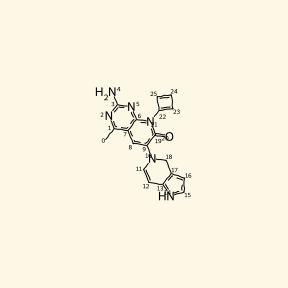 Cc1nc(N)nc2c1cc(N1C=Cc3[nH]ccc3C1)c(=O)n2C1=CC=C1